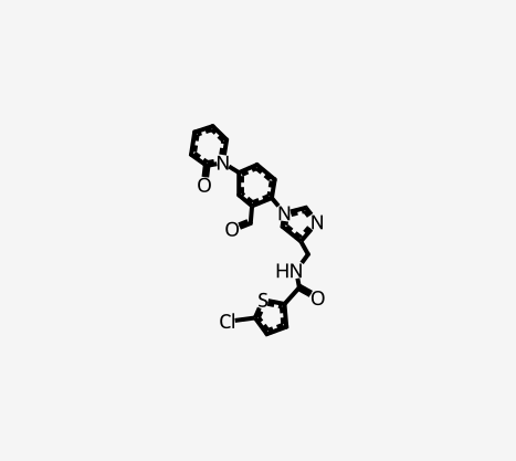 O=Cc1cc(-n2ccccc2=O)ccc1-n1cnc(CNC(=O)c2ccc(Cl)s2)c1